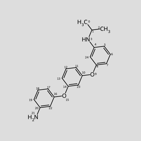 CC(C)Nc1cccc(Oc2cccc(Oc3cccc(N)c3)c2)c1